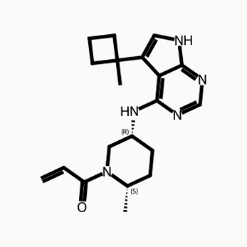 C=CC(=O)N1C[C@H](Nc2ncnc3[nH]cc(C4(C)CCC4)c23)CC[C@@H]1C